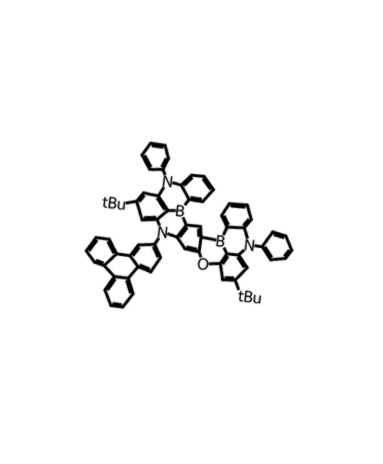 CC(C)(C)c1cc2c3c(c1)N(c1ccccc1)c1ccccc1B3c1cc3c(cc1O2)N(c1ccc2c4ccccc4c4ccccc4c2c1)c1cc(C(C)(C)C)cc2c1B3c1ccccc1N2c1ccccc1